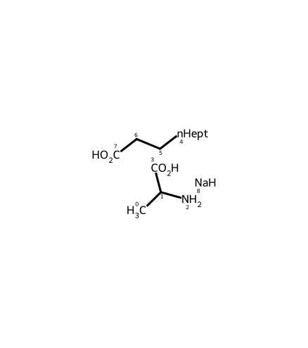 CC(N)C(=O)O.CCCCCCCCCC(=O)O.[NaH]